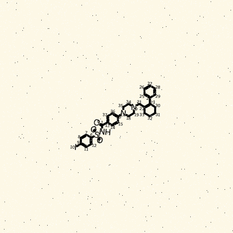 O=C(NS(=O)(=O)c1ccc(I)cc1)c1ccc(N2CCN(CC3=C(c4ccccc4)CCCC3)CC2)cc1